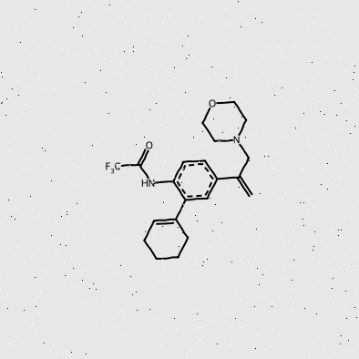 C=C(CN1CCOCC1)c1ccc(NC(=O)C(F)(F)F)c(C2=CCCCC2)c1